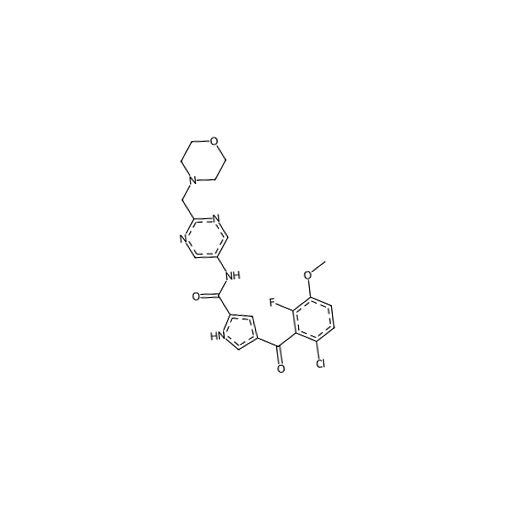 COc1ccc(Cl)c(C(=O)c2c[nH]c(C(=O)Nc3cnc(CN4CCOCC4)nc3)c2)c1F